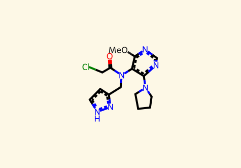 COc1ncnc(N2CCCC2)c1N(Cc1cc[nH]n1)C(=O)CCl